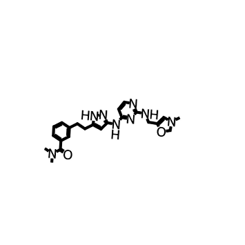 CN1C=C(CNc2nccc(Nc3cc(CCc4cccc(C(=O)N(C)C)c4)[nH]n3)n2)OC1